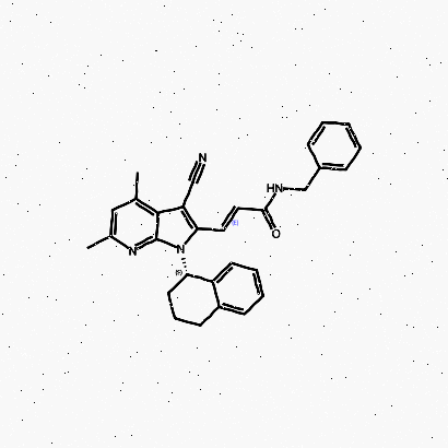 Cc1cc(C)c2c(C#N)c(/C=C/C(=O)NCc3ccccc3)n([C@H]3CCCc4ccccc43)c2n1